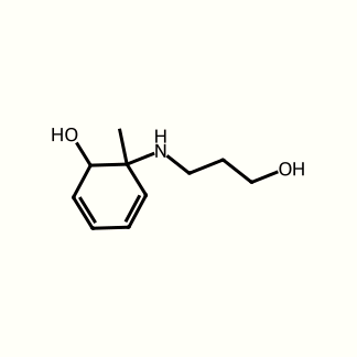 CC1(NCCCO)C=CC=CC1O